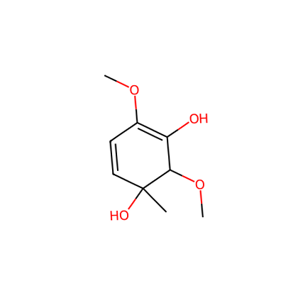 COC1=C(O)C(OC)C(C)(O)C=C1